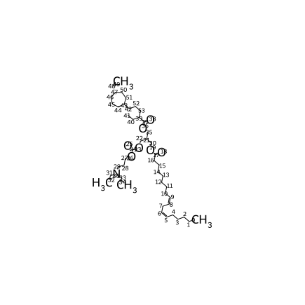 CCCCC/C=C\C/C=C\CCCCCCCC(=O)OCC(COC(=O)OCCCN(CC)CC)COC(=O)[C@H]1CC[C@H]([C@H]2CCC[C@H](CC)CC2)CC1